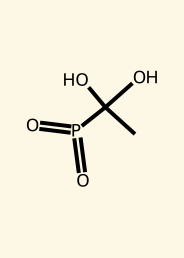 CC(O)(O)P(=O)=O